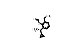 CCc1cccc([C@H](C)C2CC2)c1OC=O